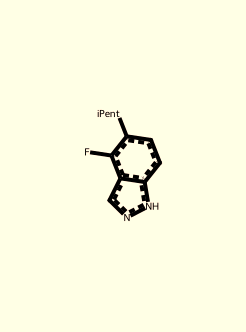 CCCC(C)c1ccc2[nH]ncc2c1F